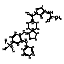 CC(=O)Nc1ccn(C(=O)N2CCC3(CCCN3Cc3ccc(C(F)(F)F)cc3Oc3cncnc3)CC2)n1